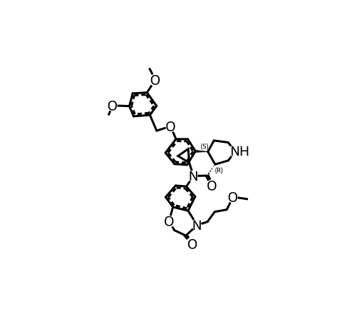 COCCCN1C(=O)COc2ccc(N(C(=O)[C@H]3CNCC[C@@H]3c3cccc(OCc4cc(OC)cc(OC)c4)c3)C3CC3)cc21